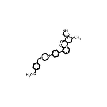 COc1ccc(CN2CCN(c3ccc(-c4cccn(C(CC(C)C)C(=O)NCN)c4=O)cc3)CC2)cc1